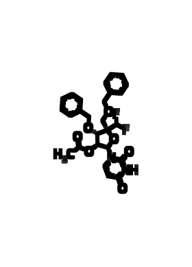 CC(=O)O[C@@H]1[C@H](n2ccc(=O)[nH]c2=O)O[C@@](COCc2ccccc2)(C(F)F)[C@H]1OCc1ccccc1